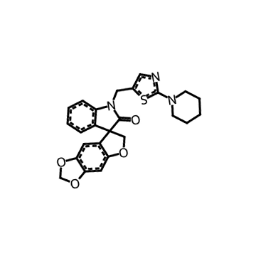 O=C1N(Cc2cnc(N3CCCCC3)s2)c2ccccc2C12COc1cc3c(cc12)OCO3